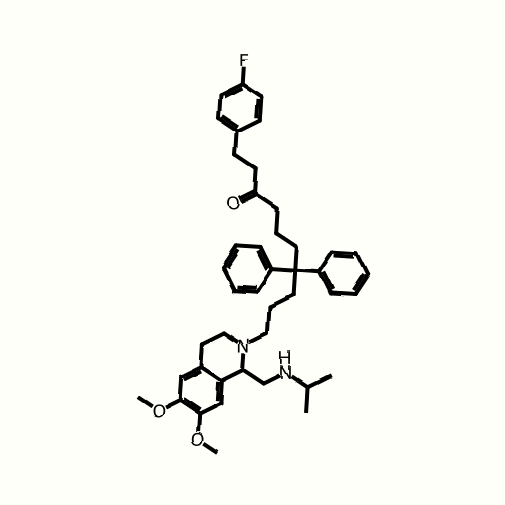 COc1cc2c(cc1OC)C(CNC(C)C)N(CCCC(CCCC(=O)CCc1ccc(F)cc1)(c1ccccc1)c1ccccc1)CC2